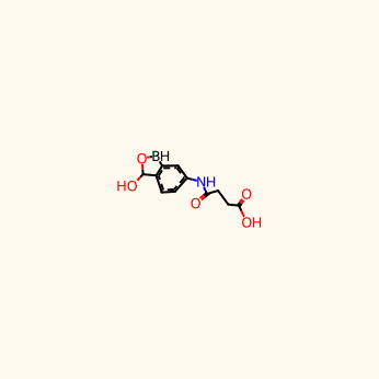 O=C(O)CCC(=O)Nc1ccc2c(c1)BOC2O